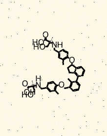 Cc1cc(CN[C@@](C)(CO)C(=O)O)ccc1OCc1cccc(-c2cccc3c2CCC3Oc2ccc(CN[C@@](C)(CO)C(=O)O)cc2C)c1C